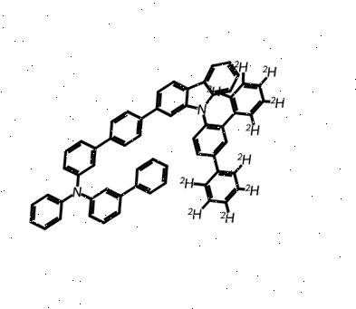 [2H]c1c([2H])c([2H])c(-c2ccc(-n3c4ccccc4c4ccc(-c5ccc(-c6cccc(N(c7ccccc7)c7cccc(-c8ccccc8)c7)c6)cc5)cc43)c(-c3c([2H])c([2H])c([2H])c([2H])c3[2H])c2)c([2H])c1[2H]